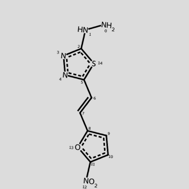 NNc1nnc(C=Cc2ccc([N+](=O)[O-])o2)s1